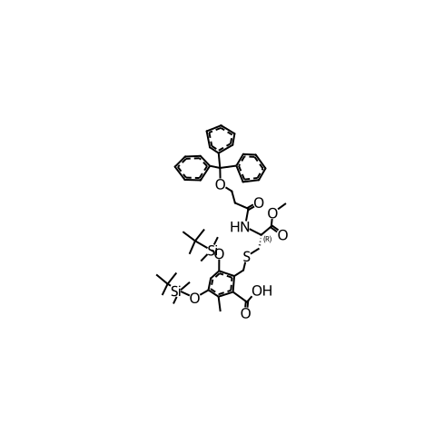 COC(=O)[C@H](CSCc1c(O[Si](C)(C)C(C)(C)C)cc(O[Si](C)(C)C(C)(C)C)c(C)c1C(=O)O)NC(=O)CCOC(c1ccccc1)(c1ccccc1)c1ccccc1